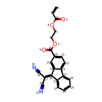 C=CC(=O)OCCOC(=O)c1ccc2c(c1)C(=C(C#N)C#N)c1ccccc1-2